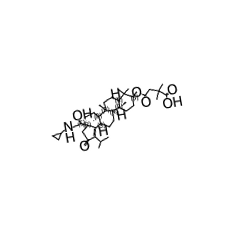 CC(C)C1=C2[C@H]3CC[C@@H]4[C@@]5(C)CC[C@H](OC(=O)CC(C)(C)C(=O)O)C(C)(C)[C@@H]5CC[C@@]4(C)[C@]3(C)CC[C@@]2([C@H](O)CNC2CC2)CC1=O